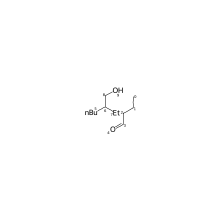 CCCC=O.CCCCC(CC)CO